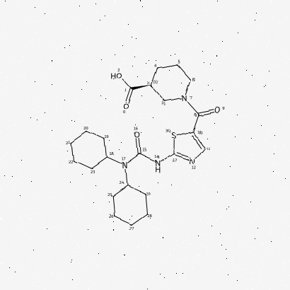 O=C(O)[C@H]1CCCN(C(=O)c2cnc(NC(=O)N(C3CCCCC3)C3CCCCC3)s2)C1